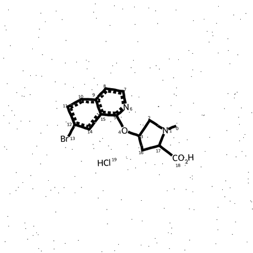 CN1CC(Oc2nccc3ccc(Br)cc23)CC1C(=O)O.Cl